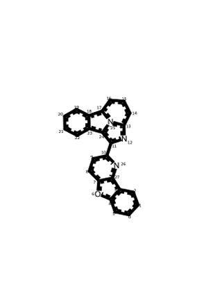 c1ccc2c(c1)oc1ccc(-c3nc4cccc5c6ccccc6c3n45)nc12